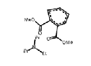 CCN(C(C)C)C(C)C.COC(=O)c1ccccc1C(=O)OC